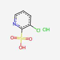 Cl.O=S(=O)(O)c1ncccc1Cl